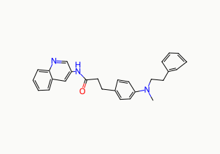 CN(CCc1ccccc1)c1ccc(CCC(=O)Nc2cnc3ccccc3c2)cc1